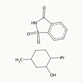 CC1CCC(C(C)C)C(O)C1.O=C1NS(=O)(=O)c2ccccc21